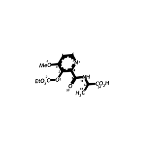 CCOC(=O)Oc1c(OC)ccnc1C(=O)NC(C)C(=O)O